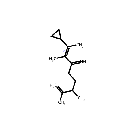 C=C(C)C(C)CCC(=N)/C(C)=C(\C)C1CC1